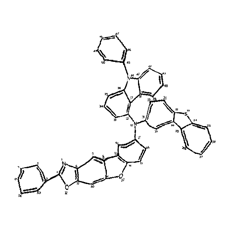 c1ccc(-c2nc3cc4c(cc3o2)oc2ccc(N(c3ccc5sc6ccccc6c5c3)c3cccc5c3c3ccccc3n5-c3ccccc3)cc24)cc1